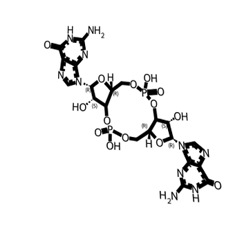 Nc1nc2c(ncn2[C@@H]2O[C@@H]3COP(=O)(O)OC4[C@@H](COP(=O)(O)OC3[C@@H]2O)O[C@@H](n2cnc3c(=O)[nH]c(N)nc32)[C@H]4O)c(=O)[nH]1